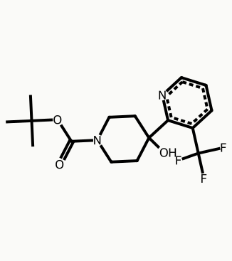 CC(C)(C)OC(=O)N1CCC(O)(c2ncccc2C(F)(F)F)CC1